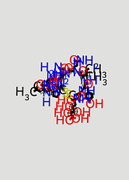 CC[C@H](C)[C@H]1NC(=O)[C@H](Cc2ccc(O)cc2)NC(=O)[C@H](NC(O)C[C@@H](O)[C@H](O)[C@H](O)C(O)O)CSSC[C@H](C(=O)N2CCC[C@@H]2C(=O)N[C@@H](CC(C)C)C(=O)NCC(N)=O)NC(=O)[C@@H](CC(N)=O)NC(=O)[C@@H](CCC(N)=O)NC1=O